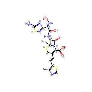 Cc1ncsc1/C=C/C1=C(C(=O)O)N2C(=O)C(NC(=O)/C(=N/O)c3nsc(N)n3)[C@H]2SC1